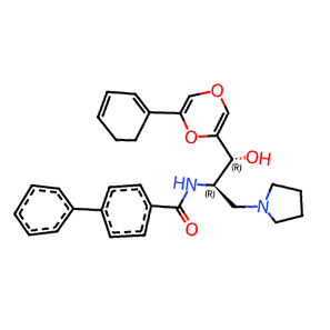 O=C(N[C@H](CN1CCCC1)[C@@H](O)C1=COC=C(C2=CC=CCC2)O1)c1ccc(-c2ccccc2)cc1